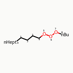 CCCCCCCCCCCOOOCCCC